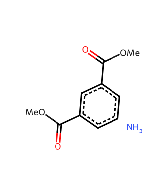 COC(=O)c1cccc(C(=O)OC)c1.N